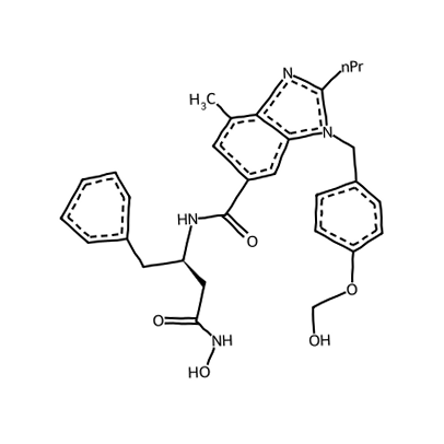 CCCc1nc2c(C)cc(C(=O)N[C@@H](CC(=O)NO)Cc3ccccc3)cc2n1Cc1ccc(OCO)cc1